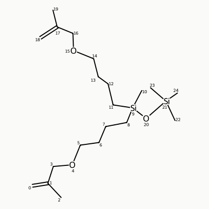 C=C(C)COCCCC[Si](C)(CCCCOCC(=C)C)O[Si](C)(C)C